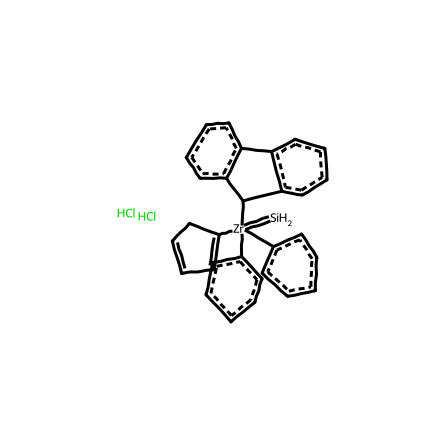 Cl.Cl.[SiH2]=[Zr]([C]1=CC=CC1)([c]1ccccc1)([c]1ccccc1)[CH]1c2ccccc2-c2ccccc21